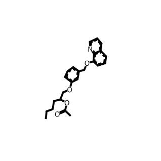 CCCCC(COc1cccc(COc2cccc3cccnc23)c1)OC(C)=O